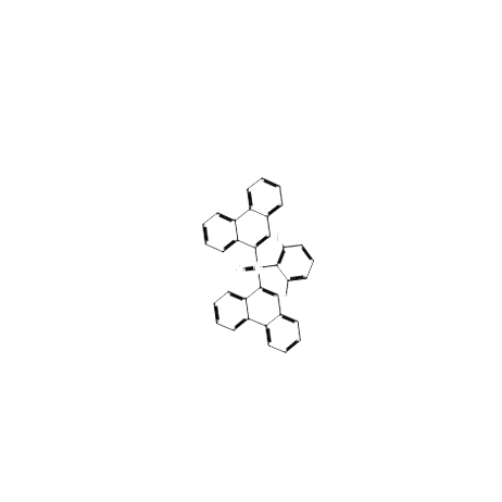 O=P(c1c(F)cccc1F)(c1cc2ccccc2c2ccccc12)c1cc2ccccc2c2ccccc12